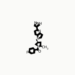 C[C@@H]1C[C@H](Cn2ccc3nc(-c4cn[nH]c4)ccc32)CN1C(=O)c1ccc(F)cc1